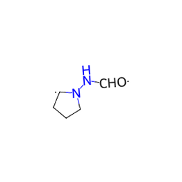 O=[C]NN1[CH]CCC1